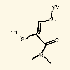 CCCNC=C(CC)C(=O)N(C)C.Cl